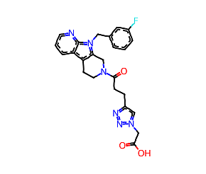 O=C(O)Cn1cc(CCC(=O)N2CCc3c(n(Cc4cccc(F)c4)c4ncccc34)C2)nn1